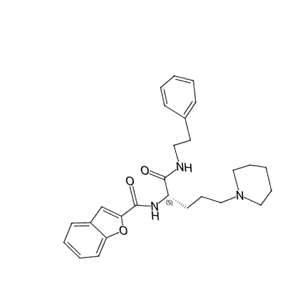 O=C(N[C@@H](CCCN1CCCCC1)C(=O)NCCc1ccccc1)c1cc2ccccc2o1